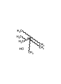 CCCCCCCC[N](CCCCCCCC)[Ti]([O]CC(CC)CCCC)[N](CCCCCCCC)CCCCCCCC.Cl